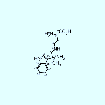 C[C@@](N)(CNCC[C@H](N)C(=O)O)c1c[nH]c2ccccc12